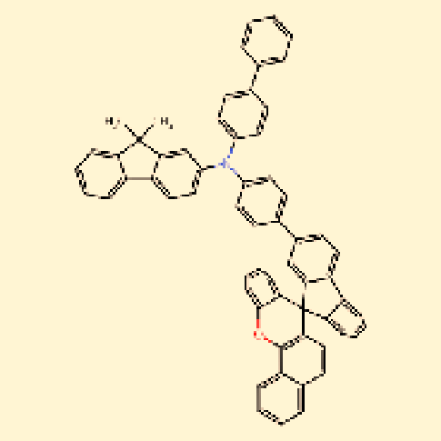 CC1(C)c2ccccc2-c2ccc(N(c3ccc(-c4ccccc4)cc3)c3ccc(-c4ccc5c(c4)C4(c6ccccc6Oc6c4ccc4ccccc64)c4ccccc4-5)cc3)cc21